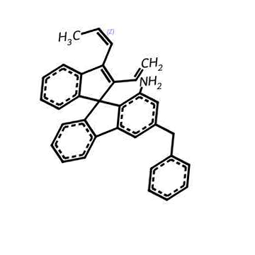 C=CC1=C(/C=C\C)c2ccccc2C12c1ccccc1-c1cc(Cc3ccccc3)cc(N)c12